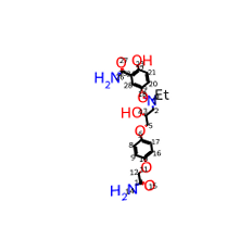 CCN(CC(O)COc1ccc(OCC(N)=O)cc1)Oc1ccc(O)c(C(N)=O)c1